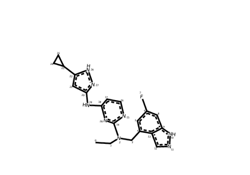 CCN(Cc1cc(F)cc2[nH]ncc12)c1nccc(Nc2cc(C3CC3)[nH]n2)n1